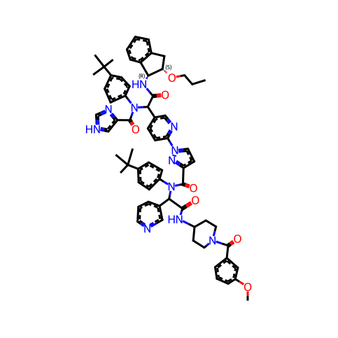 CCCO[C@H]1Cc2ccccc2[C@H]1NC(=O)C(c1ccc(-n2ccc(C(=O)N(c3ccc(C(C)(C)C)cc3)C(C(=O)NC3CCN(C(=O)c4cccc(OC)c4)CC3)c3cccnc3)n2)nc1)N(C(=O)c1c[nH]cn1)c1ccc(C(C)(C)C)cc1